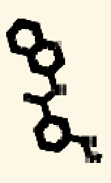 CCCNc1cccc(C(=O)Nc2cnc3ccccc3c2)c1